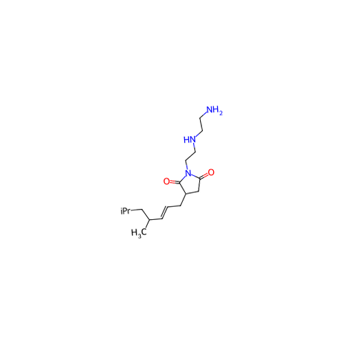 CC(C)CC(C)C=CCC1CC(=O)N(CCNCCN)C1=O